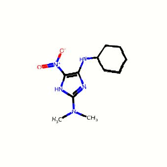 CN(C)c1nc(NC2CCCCC2)c([N+](=O)[O-])[nH]1